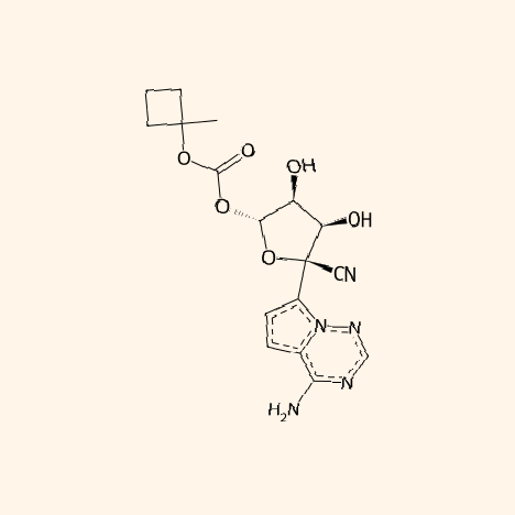 CC1(OC(=O)O[C@H]2O[C@@](C#N)(c3ccc4c(N)ncnn34)[C@H](O)[C@@H]2O)CCC1